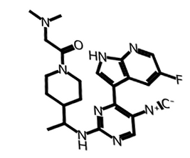 [C-]#[N+]c1cnc(NC(C)C2CCN(C(=O)CN(C)C)CC2)nc1-c1c[nH]c2ncc(F)cc12